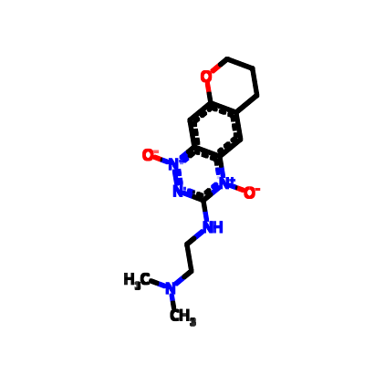 CN(C)CCNc1n[n+]([O-])c2cc3c(cc2[n+]1[O-])CCCO3